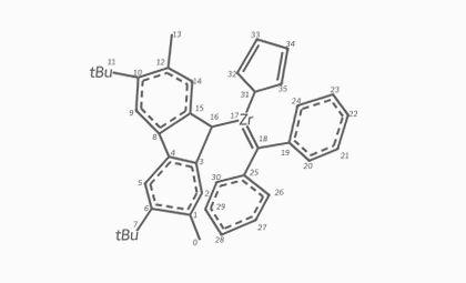 Cc1cc2c(cc1C(C)(C)C)-c1cc(C(C)(C)C)c(C)cc1[CH]2[Zr](=[C](c1ccccc1)c1ccccc1)[CH]1C=CC=C1